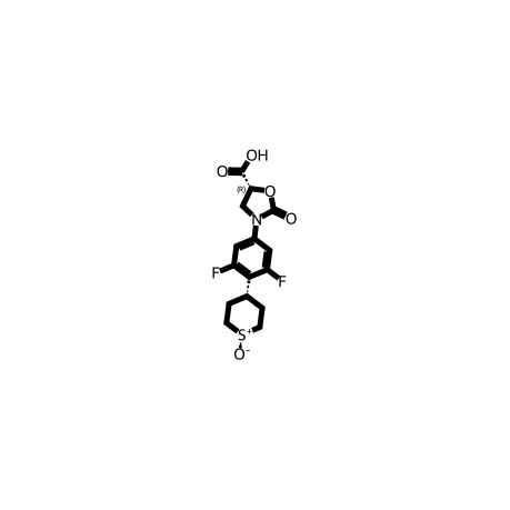 O=C(O)[C@H]1CN(c2cc(F)c([C@H]3CC[S@@+]([O-])CC3)c(F)c2)C(=O)O1